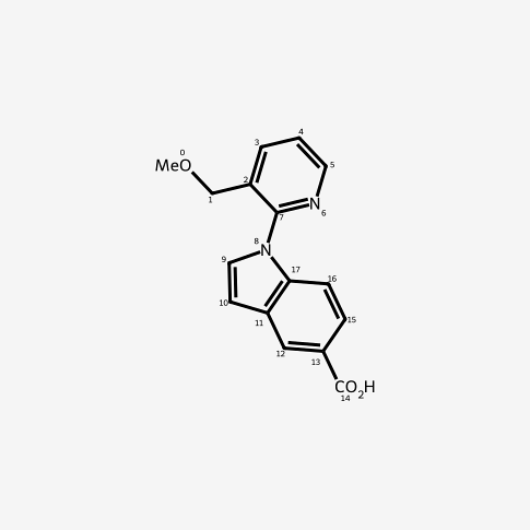 COCc1cccnc1-n1ccc2cc(C(=O)O)ccc21